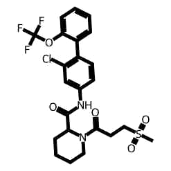 CS(=O)(=O)CCC(=O)N1CCCCC1C(=O)Nc1ccc(-c2ccccc2OC(F)(F)F)c(Cl)c1